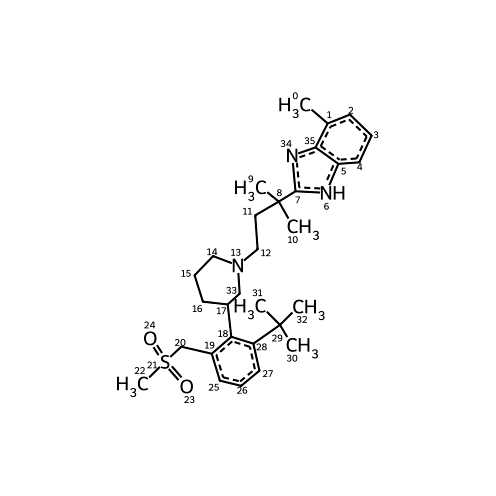 Cc1cccc2[nH]c(C(C)(C)CCN3CCCC(c4c(CS(C)(=O)=O)cccc4C(C)(C)C)C3)nc12